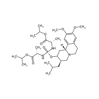 COc1cc2c(cc1OC)[C@H]1CC(OP(=O)(N[C@@H](C)C(=O)OC(C)C)N[C@@H](C)C(=O)OC(C)C)[C@H](CC(C)C)CN1CC2